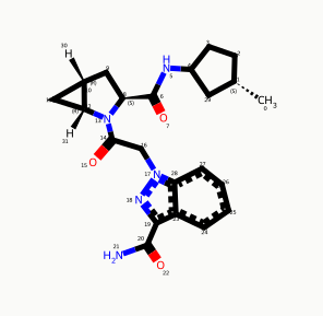 C[C@H]1CCC(NC(=O)[C@@H]2C[C@H]3C[C@H]3N2C(=O)Cn2nc(C(N)=O)c3ccccc32)C1